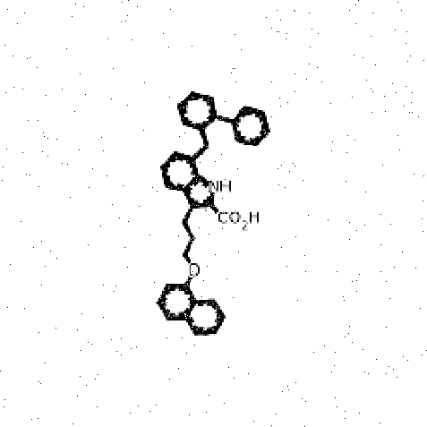 O=C(O)c1[nH]c2c(Cc3ccccc3-c3ccccc3)cccc2c1CCCOc1cccc2ccccc12